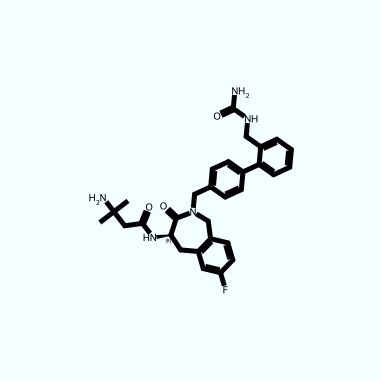 CC(C)(N)CC(=O)N[C@@H]1Cc2cc(F)ccc2CN(Cc2ccc(-c3ccccc3CNC(N)=O)cc2)C1=O